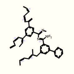 C=C/C=C\C(=C/C)c1cc(C(=C)/C=C\C=C/C)cc(C(/N=C(\N)c2cc(C/C(C)=C/C=C\C)cc(-c3ccccc3)c2)=N/C)c1